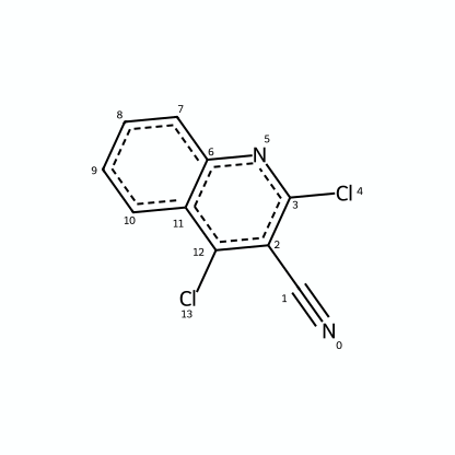 N#Cc1c(Cl)nc2ccccc2c1Cl